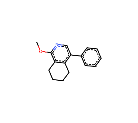 COc1ncc(-c2c[c]ccc2)c2c1CCCC2